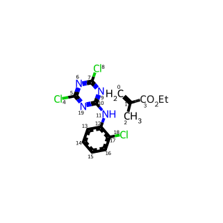 C=C(C)C(=O)OCC.Clc1nc(Cl)nc(Nc2ccccc2Cl)n1